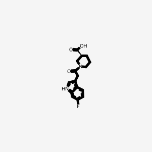 O=C(O)[C@H]1CCCN(C(=O)Cc2c[nH]c3cc(F)ccc23)C1